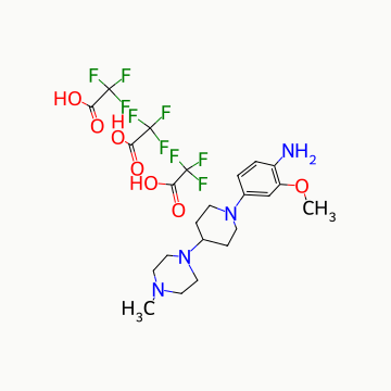 COc1cc(N2CCC(N3CCN(C)CC3)CC2)ccc1N.O=C(O)C(F)(F)F.O=C(O)C(F)(F)F.O=C(O)C(F)(F)F